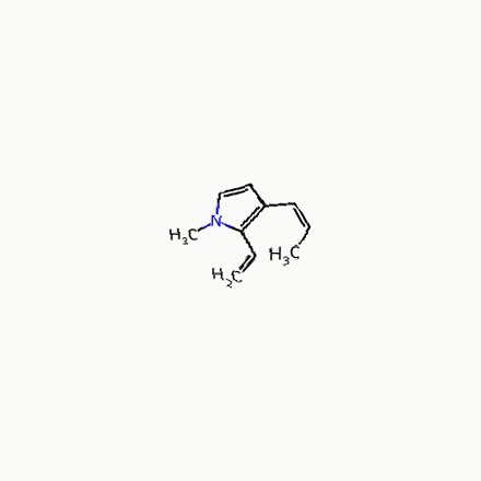 C=Cc1c(/C=C\C)ccn1C